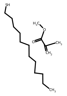 C=C(C)C(=O)OC.CCCCCCCCCCCCS